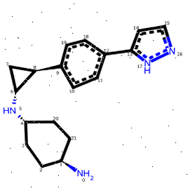 N[C@H]1CC[C@H](N[C@@H]2C[C@H]2c2ccc(-c3ccn[nH]3)cc2)CC1